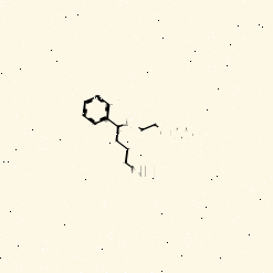 COCCOC(CCCN)c1ccccc1